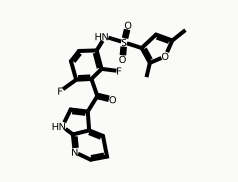 Cc1cc(S(=O)(=O)Nc2ccc(F)c(C(=O)c3c[nH]c4ncccc34)c2F)c(C)o1